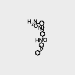 NC(=O)c1cccc2cn(-c3ccc(C(=O)NC4CCN(Cc5ccccc5)CC4)cc3)nc12